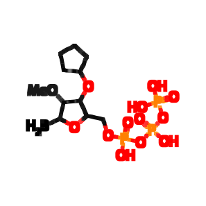 BC1OC(COP(=O)(O)OP(=O)(O)OP(=O)(O)O)C(OC2CCCC2)C1OC